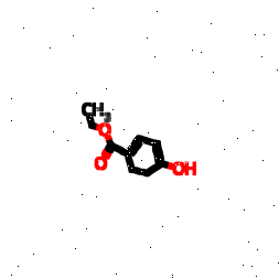 CCOC(=O)C1=CC=C(O)CC1